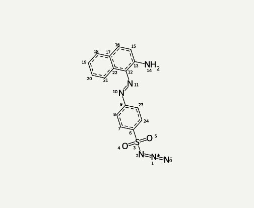 [N-]=[N+]=NS(=O)(=O)c1ccc(N=Nc2c(N)ccc3ccccc23)cc1